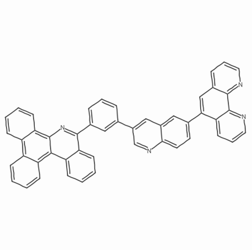 c1cc(-c2cnc3ccc(-c4cc5cccnc5c5ncccc45)cc3c2)cc(-c2nc3c4ccccc4c4ccccc4c3c3ccccc23)c1